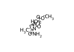 CCOC(=O)[C@H](F)ON1C(=O)N2C[C@@H]1C=C(C)[C@H]2C(N)=O